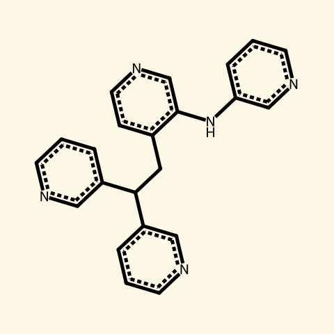 c1cncc(Nc2cnccc2CC(c2cccnc2)c2cccnc2)c1